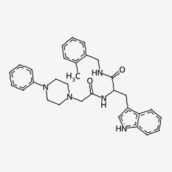 Cc1ccccc1CNC(=O)C(Cc1c[nH]c2ccccc12)NC(=O)CN1CCN(c2ccccc2)CC1